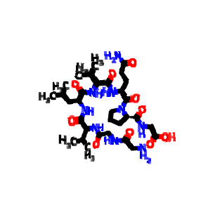 CC(C)CC(NC(=O)C(NC(=O)CNC(=O)CN)C(C)C)C(=O)NC(C(=O)NC(CCC(N)=O)C(=O)N1CCC[C@H]1C(=O)NCC(=O)O)C(C)C